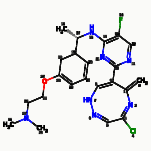 C=C1/N=C(Cl)\C=N/N/C=C\1c1ncc(F)c(N[C@@H](C)C2C=CC=C(OCCN(C)C)C2)n1